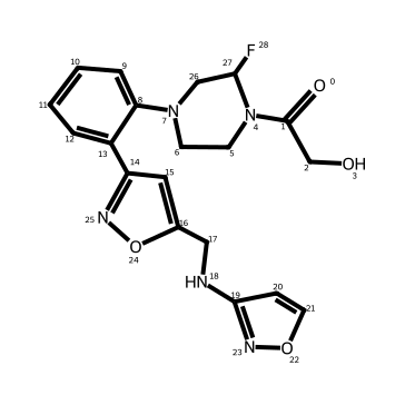 O=C(CO)N1CCN(c2ccccc2-c2cc(CNc3ccon3)on2)CC1F